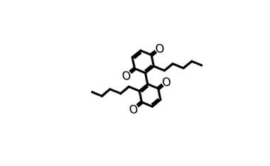 CCCCCC1=C(C2=C(CCCCC)C(=O)C=CC2=O)C(=O)C=CC1=O